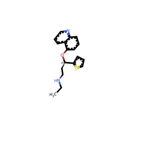 CCNCC[C@@H](Oc1cccc2ncccc12)c1cccs1